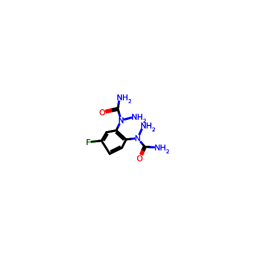 NC(=O)N(N)c1ccc(F)cc1N(N)C(N)=O